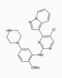 COc1ccc(N2CCNCC2)cc1Nc1ncc(Cl)c(-c2cnn3ccccc23)n1